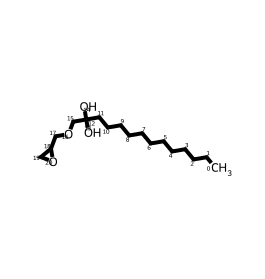 CCCCCCCCCCCCC(O)(O)COCC1CO1